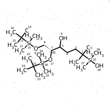 CC(C)(CCC(O)[C@@H](CO[Si](C)(C)C(C)(C)C)O[Si](C)(C)C(C)(C)C)[Si](C)(C)O